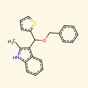 Cc1[nH]c2ccccc2c1C(OCc1ccccc1)c1cccs1